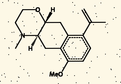 C=C(C)c1ccc(OC)c2c1C[C@H]1OCCN(C)[C@@H]1C2